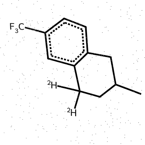 [2H]C1([2H])CC(C)Cc2ccc(C(F)(F)F)cc21